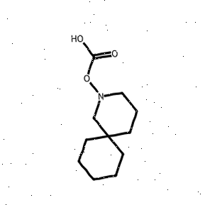 O=C(O)ON1CCCC2(CCCCC2)C1